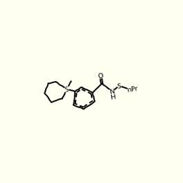 CCCSNC(=O)c1cccc(S2(C)CCCCC2)c1